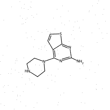 Nc1nc(N2CCNCC2)c2ccsc2n1